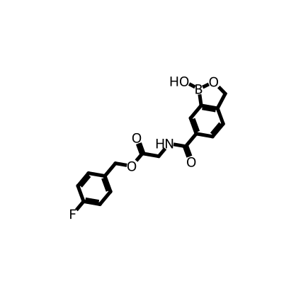 O=C(CNC(=O)c1ccc2c(c1)B(O)OC2)OCc1ccc(F)cc1